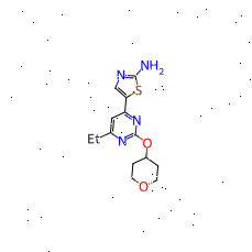 CCc1cc(-c2cnc(N)s2)nc(OC2CCOCC2)n1